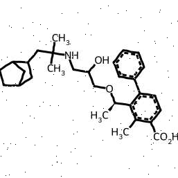 Cc1c(C(=O)O)ccc(-c2ccccc2)c1[C@@H](C)OCC(O)CNC(C)(C)CC1CC2CCC1C2